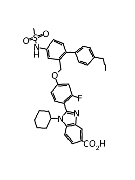 CS(=O)(=O)Nc1ccc(-c2ccc(CI)cc2)c(COc2ccc(-c3nc4cc(C(=O)O)ccc4n3C3CCCCC3)c(F)c2)c1